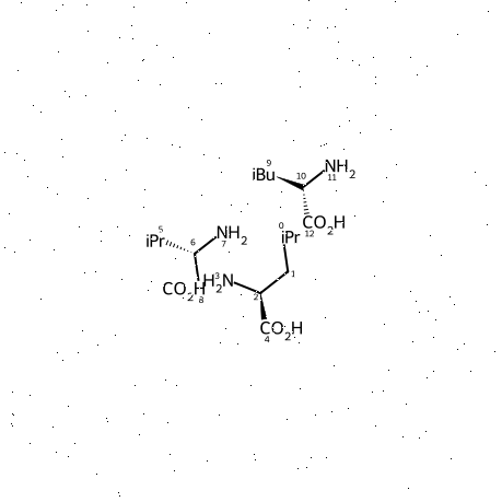 CC(C)C[C@H](N)C(=O)O.CC(C)[C@H](N)C(=O)O.CC[C@H](C)[C@H](N)C(=O)O